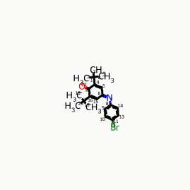 CC(C)(C)C1=CC(=Nc2ccc(Br)cc2)C=C(C(C)(C)C)C1=O